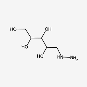 NNCC(O)C(O)C(O)CO